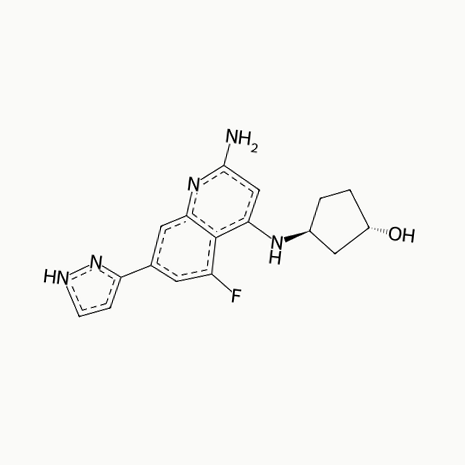 Nc1cc(N[C@H]2CC[C@H](O)C2)c2c(F)cc(-c3cc[nH]n3)cc2n1